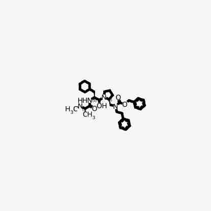 CN[C@@H](C)C(=O)N[C@@H](CC1CCCCC1)C(O)N1CCC[C@H]1CN(CCc1ccccc1)C(=O)OCc1ccccc1